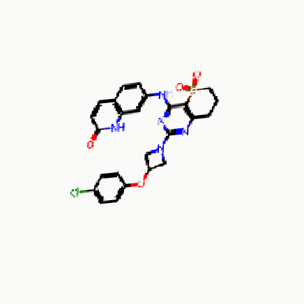 O=c1ccc2ccc(Nc3nc(N4CC(Oc5ccc(Cl)cc5)C4)nc4c3S(=O)(=O)CCC4)cc2[nH]1